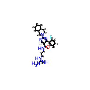 N=C(N)NCCCNC(=O)c1cnc(N2CCC3CCCCC3C2)nc1-c1ccccc1F